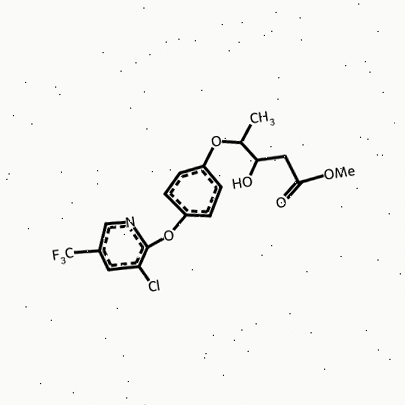 COC(=O)CC(O)C(C)Oc1ccc(Oc2ncc(C(F)(F)F)cc2Cl)cc1